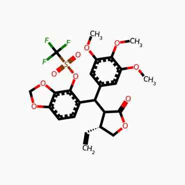 C=C[C@H]1COC(=O)C1C(c1cc(OC)c(OC)c(OC)c1)c1ccc2c(c1OS(=O)(=O)C(F)(F)F)OCO2